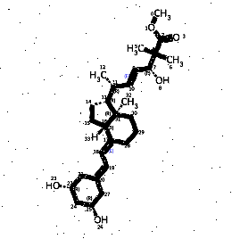 COC(=O)C(C)(C)[C@H](O)/C=C/[C@@H](C)[C@H]1CC[C@H]2/C(=C/C=C3C[C@@H](O)C[C@H](O)C3)CCC[C@]12C